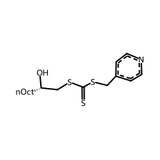 CCCCCCCC[C@H](O)CSC(=S)SCc1ccncc1